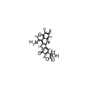 CC[C@@]1(O)C(=O)OCc2c1cc1n(c2=O)Cc2c-1nc1cc(F)c(C)c3c1c2[C@H](N)CO3